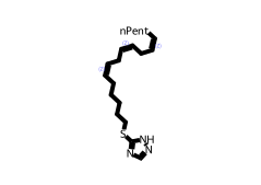 CCCCC/C=C\C/C=C\C/C=C\CCCCCSc1ncn[nH]1